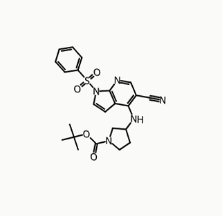 CC(C)(C)OC(=O)N1CCC(Nc2c(C#N)cnc3c2ccn3S(=O)(=O)c2ccccc2)C1